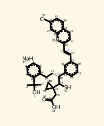 CC(C)(O)c1ccccc1CC[C@H](c1cccc(/C=C/c2ccc3ccc(Cl)cc3n2)c1)C(S)C1(CC(=O)O)CC1.[NaH]